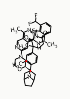 Cc1cc(C2(C)CCC(=O)NC2=O)ccc1C1CC2CCC(C1)N2C[C@@H]1CN(c2cc3c(N[C@H](C)c4cccc(C(F)F)c4F)nnc(C)c3cn2)CCO1